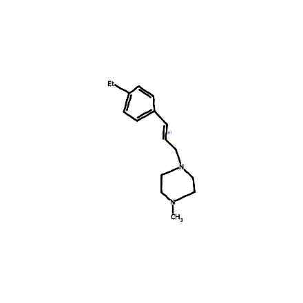 CCc1ccc(/C=C/CN2CCN(C)CC2)cc1